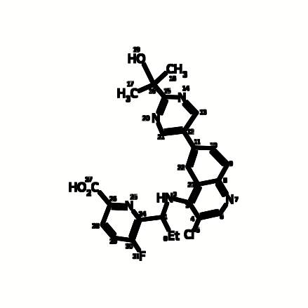 CCC(Nc1c(Cl)cnc2ccc(-c3cnc(C(C)(C)O)nc3)cc12)c1nc(C(=O)O)ccc1F